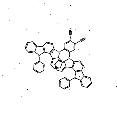 N#Cc1cc(-n2c3ccccc3c3c2ccc2c4ccccc4n(-c4ccccc4)c23)c(-n2c3ccccc3c3c2ccc2c4ccccc4n(-c4ccccc4)c23)cc1C#N